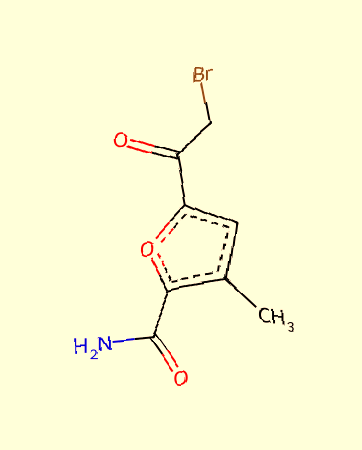 Cc1cc(C(=O)CBr)oc1C(N)=O